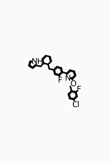 Fc1cc(Cl)ccc1COc1cccc(-c2ccc(CC3C=CC=CC3Cc3ccc[nH]3)cc2F)n1